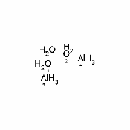 O.O.O.[AlH3].[AlH3]